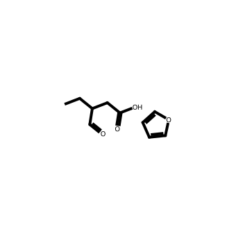 CCC(C=O)CC(=O)O.c1ccoc1